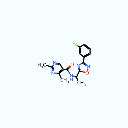 Cc1ncc(C(=O)NC(C)c2nc(-c3cccc(F)c3)no2)c(C)n1